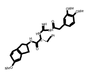 COc1ccc2c(c1)CC(NC(=O)[C@@H](CC(C)C)NC(=N)NC(=O)Cc1ccc(OC)c(OC)c1)C2